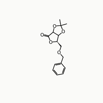 CC1(C)OC2C(=O)O[C@H](COCc3ccccc3)C2O1